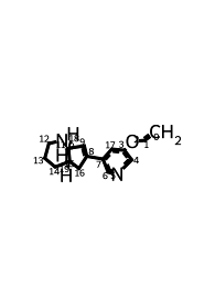 C=COc1cncc(C2=C[C@H]3NCCC[C@H]3C2)c1